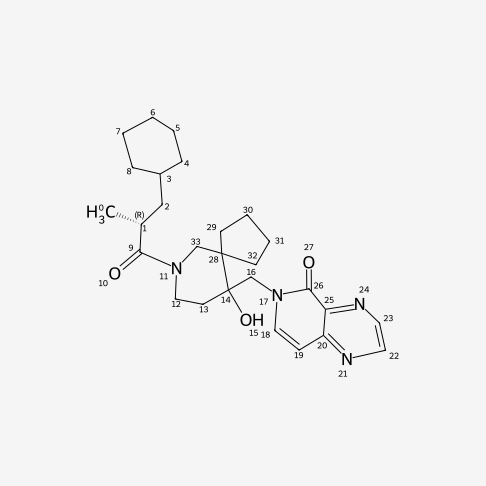 C[C@H](CC1CCCCC1)C(=O)N1CCC(O)(Cn2ccc3nccnc3c2=O)C2(CCCC2)C1